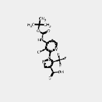 CC(C)(C)OC(=O)Nc1ccnc(-n2ncc(C(=O)O)c2C(F)(F)F)c1Cl